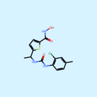 Cc1ccc(NC(=O)NC(C)c2ccc(C(=O)NO)s2)c(Cl)c1